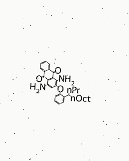 CCCCCCCCC(CCC)c1ccccc1Oc1cc(N)c2c(c1N)C(=O)c1ccccc1C2=O